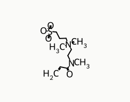 C=CC(=O)N(C)CC[N+](C)(C)CCCS(=O)(=O)[O-]